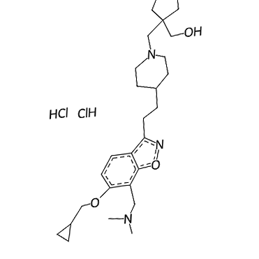 CN(C)Cc1c(OCC2CC2)ccc2c(CCC3CCN(CC4(CO)CCCC4)CC3)noc12.Cl.Cl